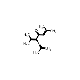 CC(C)=BC(C(=O)C=C(C)C)=C(C)C